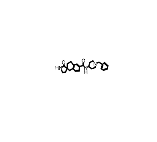 O=C(NC1CCN(Cc2ccccc2)CC1)c1ccc2c(c1)CCC1(CCNC1=O)C2